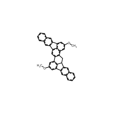 COc1cc2c3c(c1)-c1cc4c5c(cc(OC)cc5c1CC3c1cc3ccccc3cc1-2)-c1cc2ccccc2cc1-4